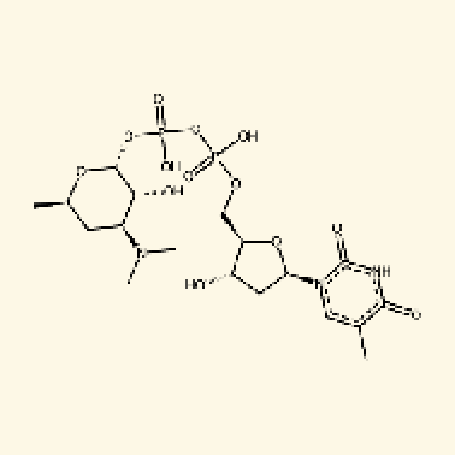 Cc1cn([C@H]2C[C@H](O)[C@@H](COP(=O)(O)OP(=O)(O)O[C@H]3O[C@H](C)C[C@H](N(C)C)[C@H]3O)O2)c(=O)[nH]c1=O